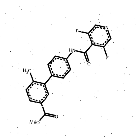 COC(=O)c1ccc(C)c(-c2ccc(NC(=O)c3c(F)cncc3F)cc2)c1